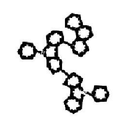 c1ccc(-n2c3ccccc3c3cc(-c4ccc5c(c4)c4c(-c6cccc7ccc8ccccc8c67)cccc4n5-c4ccccc4)ccc32)cc1